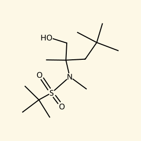 CN(C(C)(CO)CC(C)(C)C)S(=O)(=O)C(C)(C)C